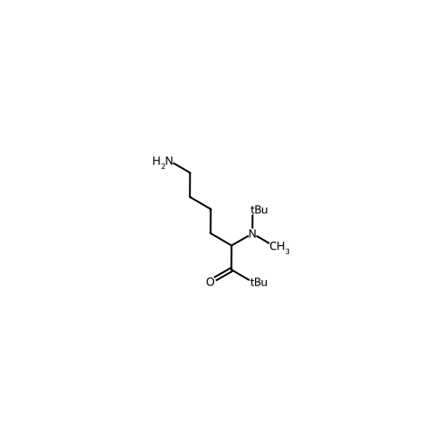 CN(C(CCCCN)C(=O)C(C)(C)C)C(C)(C)C